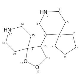 C1CCC2(C1)CCNCC2C1COOC12CCNCC2